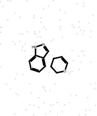 C1=COCCC1.c1ccc2[nH]ncc2c1